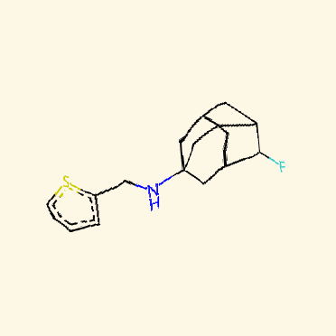 FC1C2CC3CC1CC(NCc1cccs1)(C3)C2